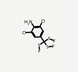 Nc1c(Cl)cc(C(SF)(SF)SF)cc1Cl